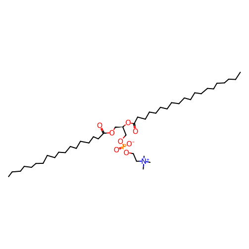 CCCCCCCCCCCCCCCCCCCC(=O)O[C@H](COC(=O)CCCCCCCCCCCCCCCCC)COP(=O)([O-])OCC[N+](C)(C)C